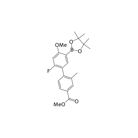 COC(=O)c1ccc(-c2cc(B3OC(C)(C)C(C)(C)O3)c(OC)cc2F)c(C)c1